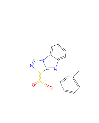 Cc1ccccc1.O=S(=O)=S1N=Cn2c1nc1ccccc12